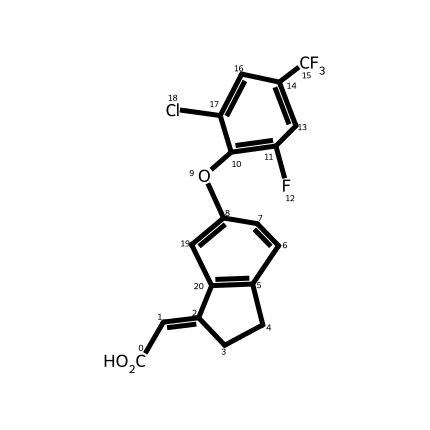 O=C(O)C=C1CCc2ccc(Oc3c(F)cc(C(F)(F)F)cc3Cl)cc21